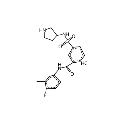 Cc1cc(NC(=O)c2cccc(S(=O)(=O)NC3CCNC3)c2)ccc1F.Cl